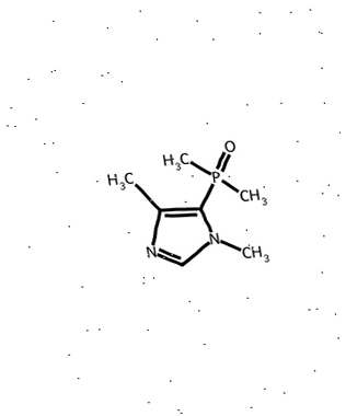 Cc1ncn(C)c1P(C)(C)=O